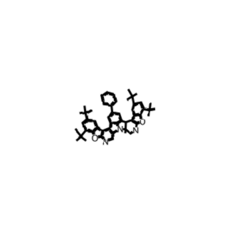 CC(C)(C)c1cc(C(C)(C)C)c2oc3c(c2c1)C1c2cc(-c4ccccc4)cc4c5c6c(ncc5n(c24)C1(C)C=N3)oc1c(C(C)(C)C)cc(C(C)(C)C)cc16